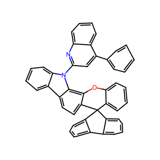 c1ccc(-c2cc(-n3c4ccccc4c4ccc5c(c43)Oc3ccccc3C53c4ccccc4-c4ccccc43)nc3ccccc23)cc1